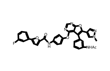 CC(=O)Nc1cccc(-c2c(-c3cnn(C)c3)oc3ncnc(Oc4ccc(NC(=O)c5ccc(-c6cccc(F)c6)o5)cc4)c23)c1